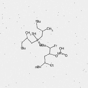 CC(CC(C)(C)C)CP(=O)(S)CC(C)CC(C)(C)C.CCCCC(CC)CC(O[PH](=O)O)C(CC)CCCC